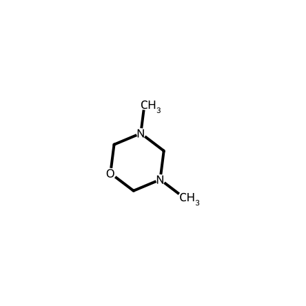 CN1COCN(C)C1